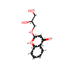 O=c1cc(OCC(O)CO)oc2ccccc12